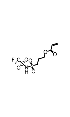 C=CC(=O)OCCCS(=O)(=O)NS(=O)(=O)C(F)(F)F